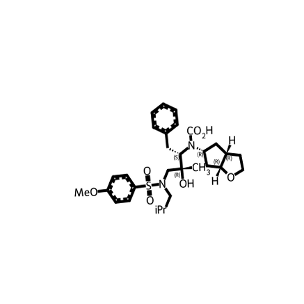 COc1ccc(S(=O)(=O)N(CC(C)C)C[C@@](C)(O)[C@H](Cc2ccccc2)N(C(=O)O)[C@@H]2C[C@@H]3CCO[C@@H]3C2)cc1